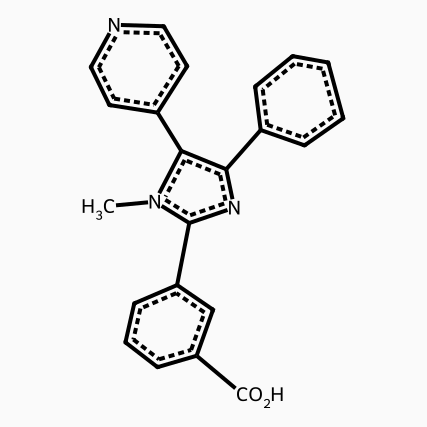 Cn1c(-c2cccc(C(=O)O)c2)nc(-c2ccccc2)c1-c1ccncc1